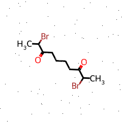 CC(Br)C(=O)CCCCC(=O)C(C)Br